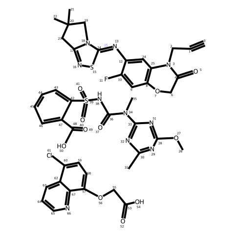 C#CCN1C(=O)COc2cc(F)c(/N=c3\snc4n3CC(C)(C)C4)cc21.COc1nc(C)nc(N(C)C(=O)NS(=O)(=O)c2ccccc2C(=O)O)n1.O=C(O)COc1ccc(Cl)c2cccnc12